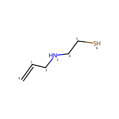 C=CCNCCS